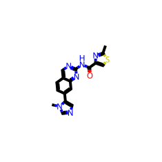 Cc1nc(C(=O)Nc2ncc3ccc(-c4cncn4C)cc3n2)cs1